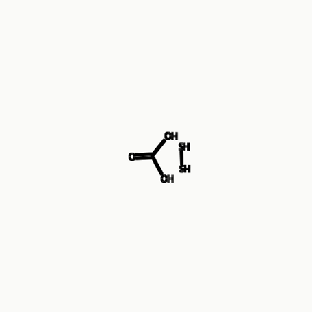 O=C(O)O.SS